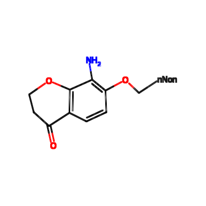 CCCCCCCCCCOc1ccc2c(c1N)OCCC2=O